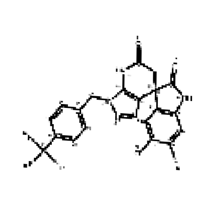 O=C1C[C@]2(C(=O)Nc3cc(F)c(Cl)cc32)c2cnn(Cc3ccc(C(F)(F)F)cc3)c2N1